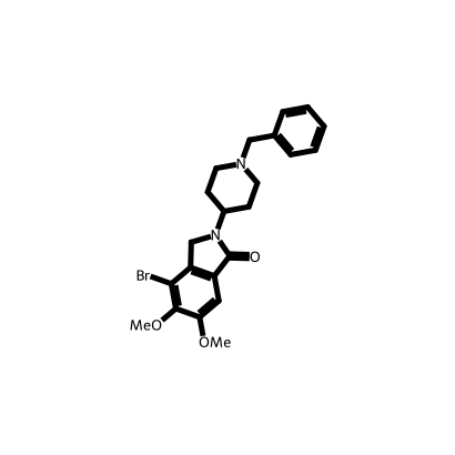 COc1cc2c(c(Br)c1OC)CN(C1CCN(Cc3ccccc3)CC1)C2=O